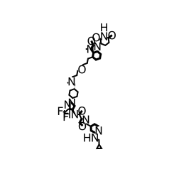 CN(CCCOCCCc1cccc2c1n(C)c(=O)n2[C@H]1CCC(=O)NC1=O)C[C@H]1CC[C@H](n2cc(NC(=O)c3coc(-c4ccnc(NCC5CC5)c4)n3)c(C(F)F)n2)CC1